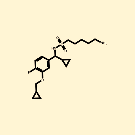 NCCCCCS(=O)(=O)NC(c1ccc(F)c(OCC2CC2)c1)C1CC1